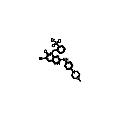 CCS(=O)(=O)c1ccccc1Cn1c(=O)c(Br)cc2cnc(Nc3ccc(N4CCN(C)CC4)cc3)nc21